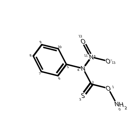 NOC(=S)N(c1ccccc1)[N+](=O)[O-]